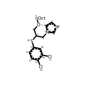 CCCCCCCCOCC(Cn1ccnc1)Sc1ccc(Cl)c(Cl)c1